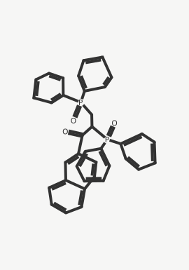 O=C(c1ccc2ccccc2c1)C(CP(=O)(c1ccccc1)c1ccccc1)P(=O)(c1ccccc1)c1ccccc1